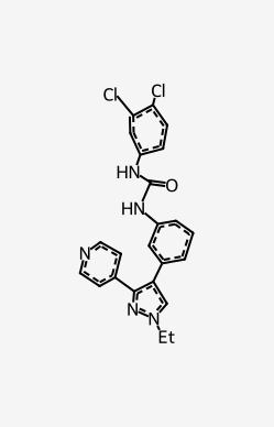 CCn1cc(-c2cccc(NC(=O)Nc3ccc(Cl)c(Cl)c3)c2)c(-c2ccncc2)n1